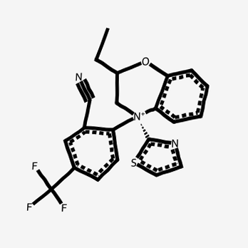 CCC1C[N@+](c2nccs2)(c2ccc(C(F)(F)F)cc2C#N)c2ccccc2O1